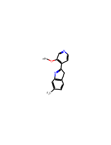 CCCOc1cnccc1C1=Nc2cc(C(F)(F)F)ccc2C1